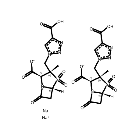 C[C@]1(Cn2cc(C(=O)O)nn2)[C@H](C(=O)[O-])N2C(=O)C[C@H]2S1(=O)=O.C[C@]1(Cn2cc(C(=O)O)nn2)[C@H](C(=O)[O-])N2C(=O)C[C@H]2S1(=O)=O.[Na+].[Na+]